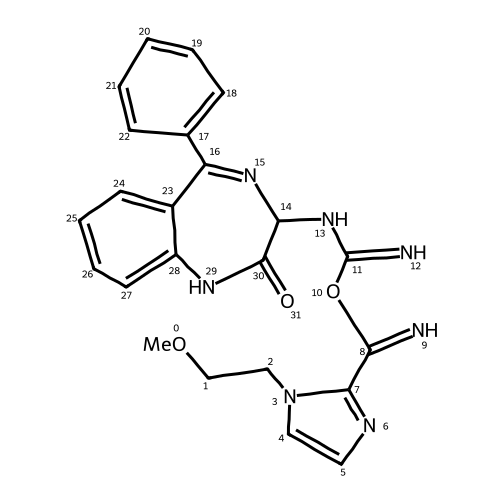 COCCn1ccnc1C(=N)OC(=N)NC1N=C(c2ccccc2)c2ccccc2NC1=O